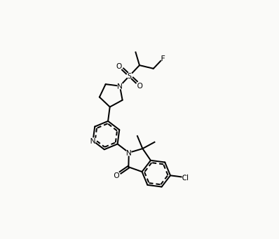 CC(CF)S(=O)(=O)N1CCC(c2cncc(N3C(=O)c4ccc(Cl)cc4C3(C)C)c2)C1